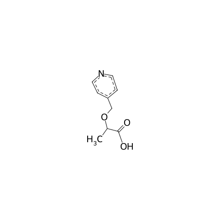 CC(OCc1ccncc1)C(=O)O